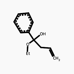 C=CCC(O)(OCC)c1ccccc1